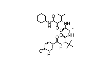 CC(C)[C@H](NC(=O)[C@H](C)NC(=O)[C@@H](NC(=O)c1ccc(=O)[nH]c1)C(C)(C)C)C(=O)C(=O)NC1CCCCC1